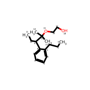 CCCc1ccccc1C(CC)C(C)(C)OCCO